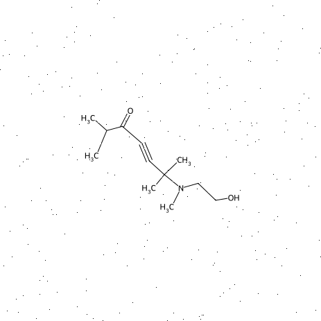 CC(C)C(=O)C#CC(C)(C)N(C)CCO